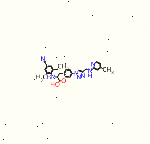 CCc1cc(C#N)cc(C)c1NC(Cc1ccc(-n2cc(CNc3cc(C)ccn3)nn2)cc1)C(=O)O